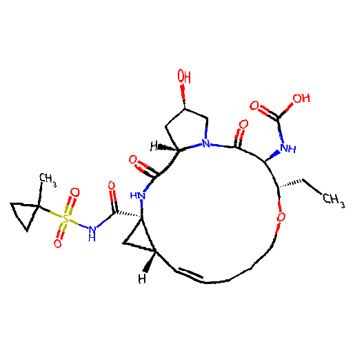 CC[C@@H]1OCCCC=C[C@@H]2C[C@@]2(C(=O)NS(=O)(=O)C2(C)CC2)NC(=O)[C@@H]2C[C@@H](O)CN2C(=O)[C@H]1NC(=O)O